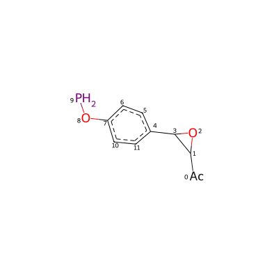 CC(=O)C1OC1c1ccc(OP)cc1